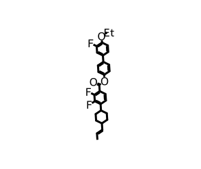 C/C=C/C1CCC(c2ccc(C(=O)Oc3ccc(-c4ccc(OCC)c(F)c4)cc3)c(F)c2F)CC1